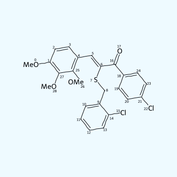 COc1ccc(C=C(SCc2ccccc2Cl)C(=O)c2ccc(Cl)cc2)c(OC)c1OC